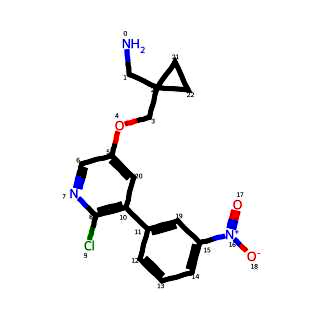 NCC1(COc2cnc(Cl)c(-c3cccc([N+](=O)[O-])c3)c2)CC1